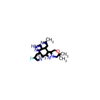 Cc1cc(-c2c(-c3ccc(F)cn3)nn3c2COC(C)(C)C3)c2c(C)n[nH]c2n1